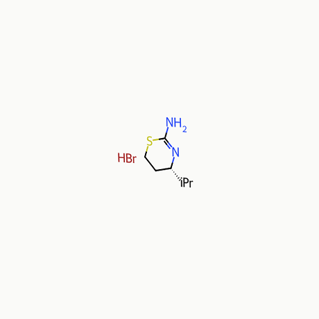 Br.CC(C)[C@@H]1CCSC(N)=N1